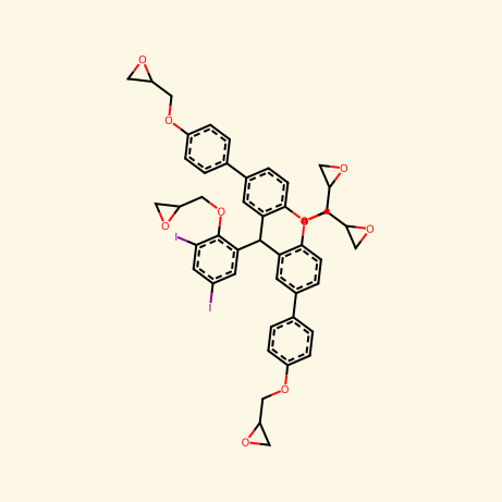 Ic1cc(I)c(OCC2CO2)c(C(c2cc(-c3ccc(OCC4CO4)cc3)ccc2OCC2CO2)c2cc(-c3ccc(OCC4CO4)cc3)ccc2OCC2CO2)c1